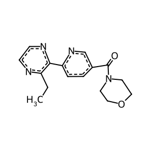 CCc1nccnc1-c1ccc(C(=O)N2CCOCC2)cn1